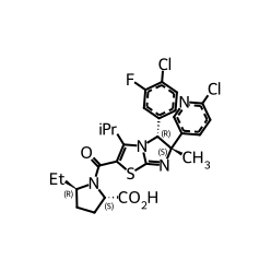 CC[C@@H]1CC[C@@H](C(=O)O)N1C(=O)C1=C(C(C)C)N2C(=N[C@@](C)(c3ccc(Cl)nc3)[C@H]2c2ccc(Cl)c(F)c2)S1